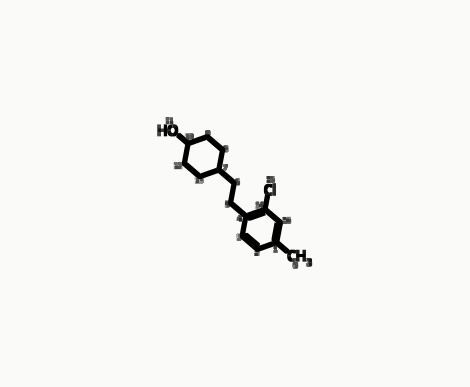 Cc1ccc(CCC2CCC(O)CC2)c(Cl)c1